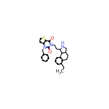 CCc1cccc2c1CCC1CNC(CCn3c(=O)c4sccc4n(Cc4ccccc4)c3=O)C21